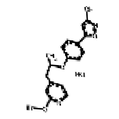 CC(C)Oc1cc(CC(C)Oc2ccc(-c3cc(O)no3)cc2)ccn1.Cl